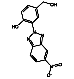 O=[N+]([O-])c1ccc2nn(-c3cc(CO)ccc3O)nc2c1